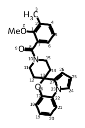 COc1c(C)cccc1C(=O)N1CCC2(CC1)Oc1ccccc1-n1cccc12